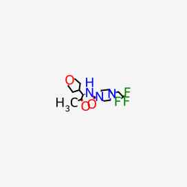 CC(=O)[C@@H](NC(=O)N1CCN(CC(F)(F)F)CC1)C1CCOCC1